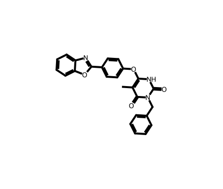 Cc1c(Oc2ccc(-c3nc4ccccc4o3)cc2)[nH]c(=O)n(Cc2ccccc2)c1=O